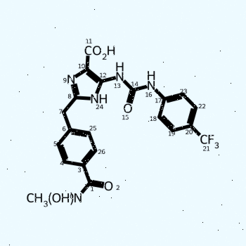 CN(O)C(=O)c1ccc(Cc2nc(C(=O)O)c(NC(=O)Nc3ccc(C(F)(F)F)cc3)[nH]2)cc1